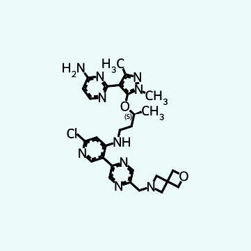 Cc1nn(C)c(O[C@@H](C)CCNc2cc(Cl)ncc2-c2cnc(CN3CC4(COC4)C3)cn2)c1-c1nccc(N)n1